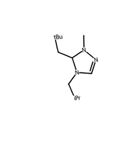 CC(C)CN1C=NN(C)C1CC(C)(C)C